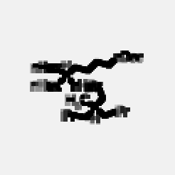 CC(C)C[PH](C)(CC(C)C)CC(C)C.CCCCCCCCCCCCCC[PH](CCCCCC)(CCCCCC)CCCCCC